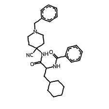 N#CC1(NC(=O)C(CC2CCCCC2)NC(=O)c2ccccc2)CCN(Cc2ccccc2)CC1